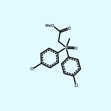 COC(=O)CS(C)(=O)(c1ccc(Cl)cc1)c1ccc(Cl)cc1